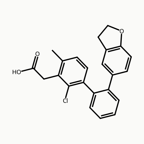 Cc1ccc(-c2ccccc2-c2ccc3c(c2)CCO3)c(Cl)c1CC(=O)O